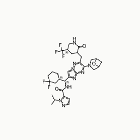 CC(C)n1nccc1C(=O)N[C@H](c1cn2nc(CC3C[C@@H](C(F)(F)F)CNC3=O)c(N3CC4CC(C3)O4)nc2n1)[C@@H]1CCCC(F)(F)C1